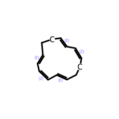 C1=C\C=C\CC/C=C/C=C\CC/C=C/1